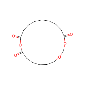 O=C1CCCCCCCC(=O)OC(=O)CCCCCOCO1